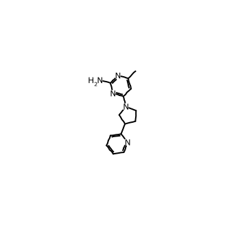 Cc1cc(N2CCC(c3ccccn3)C2)nc(N)n1